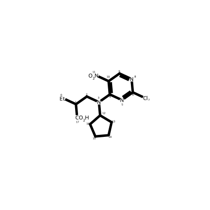 CCC(CN(c1nc(Cl)ncc1[N+](=O)[O-])C1CCCC1)C(=O)O